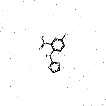 O=[N+]([O-])c1cc(F)ccc1Nc1nccs1